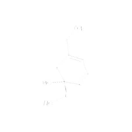 OCC1=CC=CC(O)(CO)C1